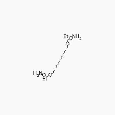 CCc1cc(N)ccc1Cc1ccc(CCCCCCCCCCCCCCCCCCCc2ccc(Cc3ccc(N)cc3CC)cc2)cc1